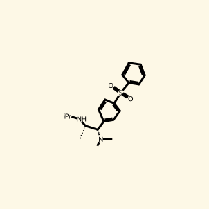 CC(C)N[C@@H](C)[C@H](c1ccc(S(=O)(=O)c2ccccc2)cc1)N(C)C